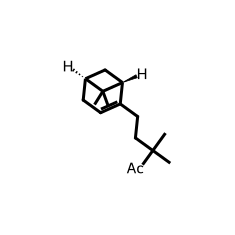 CC(=O)C(C)(C)CCC1=CC[C@H]2C[C@H]1C2(C)C